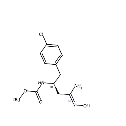 CC(C)(C)OC(=O)N[C@H](C/C(N)=N/O)Cc1ccc(Cl)cc1